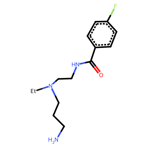 CCN(CCCN)CCNC(=O)c1ccc(F)cc1